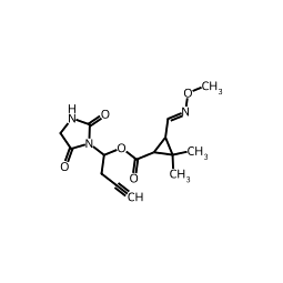 C#CCC(OC(=O)C1C(C=NOC)C1(C)C)N1C(=O)CNC1=O